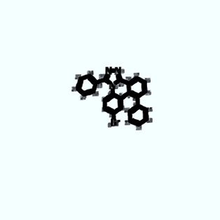 Brc1ccc2c(c1)c1c(-c3ccccc3)cccc1c1nnc(-c3ccccc3)n21